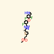 CCOC(=O)CCc1ccc([C@H](C)c2nc(-c3cc(Oc4c(F)cc5[nH]ccc5c4F)ccc3F)n(C)n2)s1